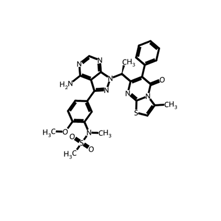 COc1ccc(-c2nn([C@@H](C)c3nc4scc(C)n4c(=O)c3-c3ccccc3)c3ncnc(N)c23)cc1N(C)S(C)(=O)=O